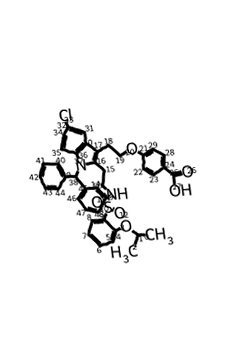 CC(C)Oc1ccccc1S(=O)(=O)NCCc1c(CCOc2ccc(C(=O)O)cc2)c2cc(Cl)ccc2n1C(c1ccccc1)c1ccccc1